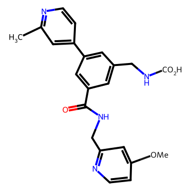 COc1ccnc(CNC(=O)c2cc(CNC(=O)O)cc(-c3ccnc(C)c3)c2)c1